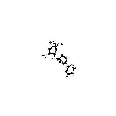 Cc1cc([N+](=O)[O-])c(C)cc1Oc1ccn(-c2ccccn2)n1